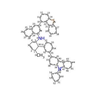 CC1C=CC=C(Nc2cc(-c3cccc4sc5ccccc5c34)cc3ccccc23)C1c1cccc(-c2ccc3c(c2)c2ccccc2n3-c2ccccc2)c1